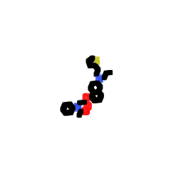 CCCN(CCc1cccs1)C1CCc2c(cccc2OC(=O)CN(C(C)=O)c2ccccc2)C1